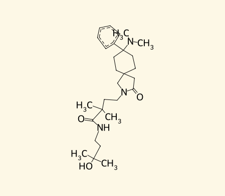 CN(C)C1(c2ccccc2)CCC2(CC1)CC(=O)N(CCC(C)(C)C(=O)NCCC(C)(C)O)C2